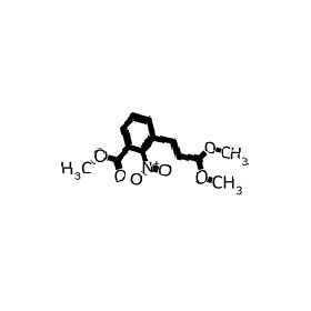 COC(=O)c1cccc(CCC(OC)OC)c1[N+](=O)[O-]